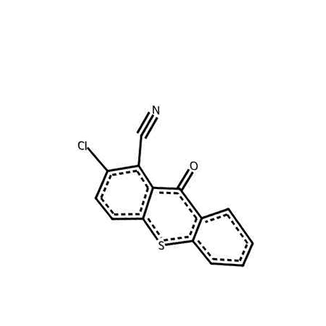 N#Cc1c(Cl)ccc2sc3ccccc3c(=O)c12